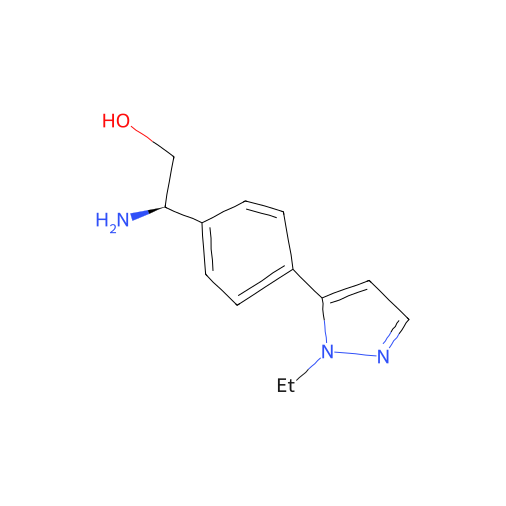 CCn1nccc1-c1ccc([C@@H](N)CO)cc1